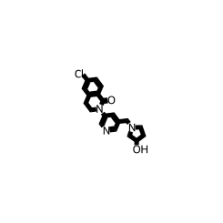 O=C1c2ccc(Cl)cc2CCN1c1cncc(CN2CCC(O)C2)c1